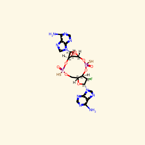 Nc1ncnc2c1ncn2[C@@H]1O[C@@H]2COP(=O)(S)O[C@@H]3[C@H](O)[C@H](O[C@H]3n3cnc4c(N)ncnc43)OP(=O)(S)O[C@H]2[C@H]1F